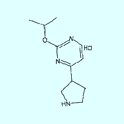 CC(C)Oc1nccc(C2CCNC2)n1.Cl